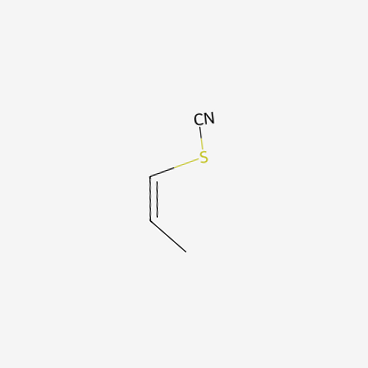 C/C=C\SC#N